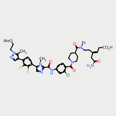 CCN(CC/C(=C\CC(=O)O)CC(N)=O)C(=O)C1CCN(C(=O)c2ccc(NC(=O)c3ncc(-c4ccc(-c5cnn(CCOC)c5C)c(F)c4F)n3C)cc2Cl)CC1